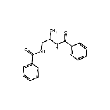 CC(CNC(=O)c1ccccc1)NC(=O)c1ccccc1